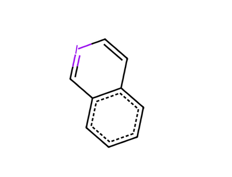 C1=Cc2ccccc2C=I1